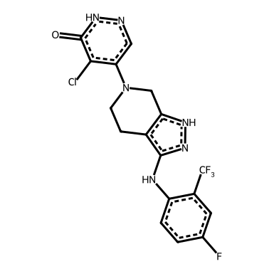 O=c1[nH]ncc(N2CCc3c(Nc4ccc(F)cc4C(F)(F)F)n[nH]c3C2)c1Cl